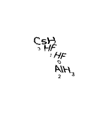 F.F.[AlH3].[CsH]